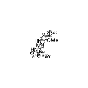 COc1cc(Nc2ncc3c(n2)NC2(CCOC2)C(=O)N3CCC(C)C)ccc1-n1cnc(C)c1